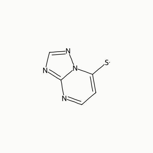 [S]c1ccnc2ncnn12